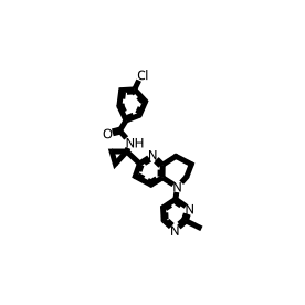 Cc1nccc(N2CCCc3nc(C4(NC(=O)c5ccc(Cl)cc5)CC4)ccc32)n1